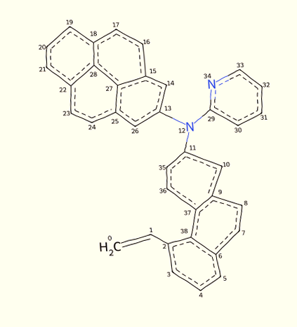 C=Cc1cccc2ccc3cc(N(c4cc5ccc6cccc7ccc(c4)c5c67)c4ccccn4)ccc3c12